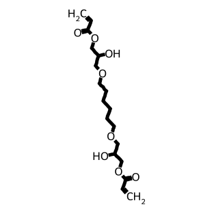 C=CC(=O)OCC(O)COCCCCCCOCC(O)COC(=O)C=C